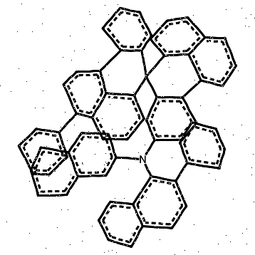 c1ccc(-c2ccc3ccccc3c2N(c2ccc3c(c2)C2(c4ccccc4-c4ccc(-c5ccccc5)c5cccc2c45)c2cccc4cccc-3c24)c2ccc3ccccc3c2)cc1